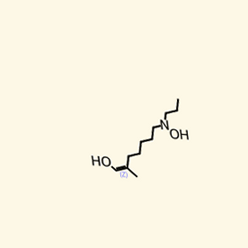 CCCN(O)CCCCC/C(C)=C\O